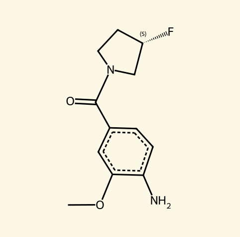 COc1cc(C(=O)N2CC[C@H](F)C2)ccc1N